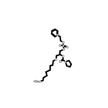 CCCCCCCCCCCCCCCCCCOCC(COP(=O)([O-])OCC[n+]1ccccc1)OC(=O)N1CCCC1